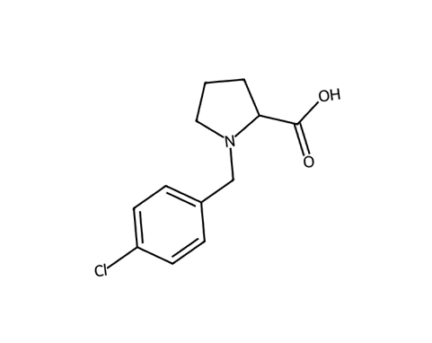 O=C(O)C1CCCN1Cc1ccc(Cl)cc1